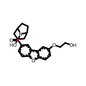 O=C(c1ccc2oc3ccc(OCCO)cc3c2c1)N1C2CCC1CC(O)C2